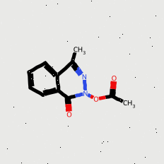 CC(=O)On1nc(C)c2ccccc2c1=O